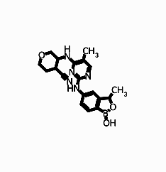 Cc1cnc(Nc2ccc3c(c2)C(C)OB3O)nc1NC1COCCC1C#N